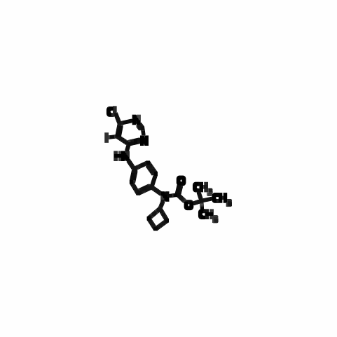 CC(C)(C)OC(=O)N(c1ccc(Nc2ncnc(Cl)c2I)cc1)C1CCC1